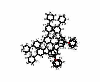 c1ccc(-c2ccc3c(c2)c2cc(-c4ccccc4)ccc2n3-c2c(-c3ccc(-c4ccncc4)cc3)cc(-c3ccc(-c4ccncc4)cc3)c(-n3c4ccc(-c5ccccc5)cc4c4cc(-c5ccccc5)ccc43)c2-n2c3ccc(-c4ccccc4)cc3c3cc(-c4ccccc4)ccc32)cc1